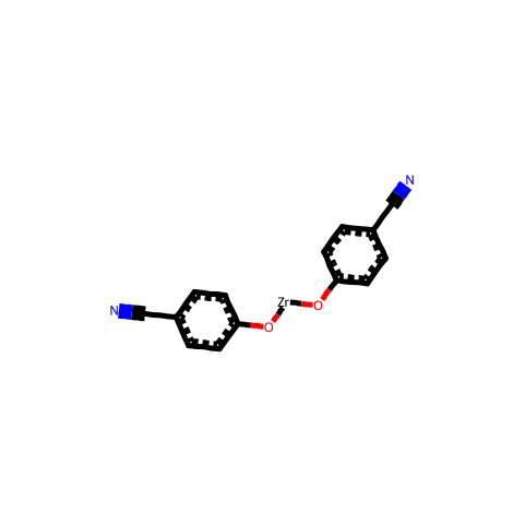 N#Cc1ccc([O][Zr][O]c2ccc(C#N)cc2)cc1